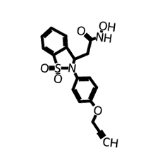 C#CCOc1ccc(N2C(CC(=O)NO)c3ccccc3S2(=O)=O)cc1